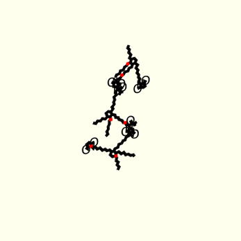 C=C(C)C(=O)N(CCCCCCCCC1C(CCCCCCCCN(C(=O)C(=C)C)C2CC(=O)N(CCCCCCCCC3C(CCCCCCCCN4C(=O)C=CC4=O)CCC(CCCCCC)C3CCCCCCCC)C2=O)CCC(CCCCCC)C1CCCCCCCC)C1=CC(=O)N(CCCCCCCCC2C(CCCCCCCCN3C(=O)C=CC3=O)CCC(CCCCCC)C2CCCCCCCC)C1=O